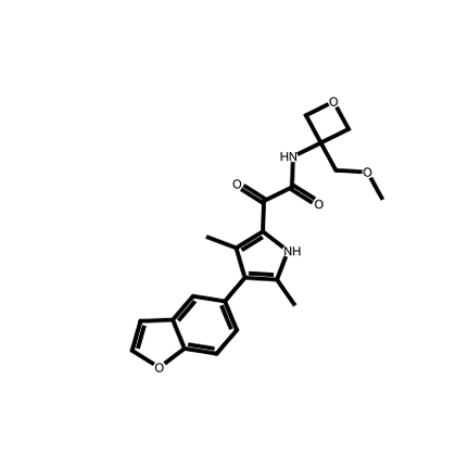 COCC1(NC(=O)C(=O)c2[nH]c(C)c(-c3ccc4occc4c3)c2C)COC1